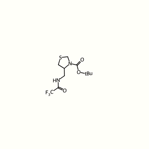 CC(C)(C)OC(=O)N1CSCC1CNC(=O)C(F)(F)F